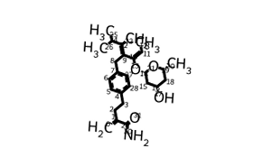 C=C(CCc1ccc(CC(/C(=C\C)O[C@H]2C[C@@H](O)C[C@@H](C)O2)=C(/C)C(C)C)cc1)C(N)=O